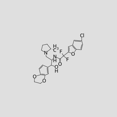 C[C@H]1CCCN1CC(NC(=O)C(F)(F)c1cc2cc(Cl)ccc2o1)C(O)c1ccc2c(c1)OCCO2